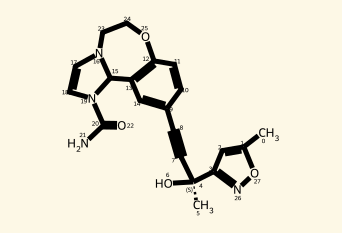 Cc1cc([C@@](C)(O)C#Cc2ccc3c(c2)C2N(C=CN2C(N)=O)CCO3)no1